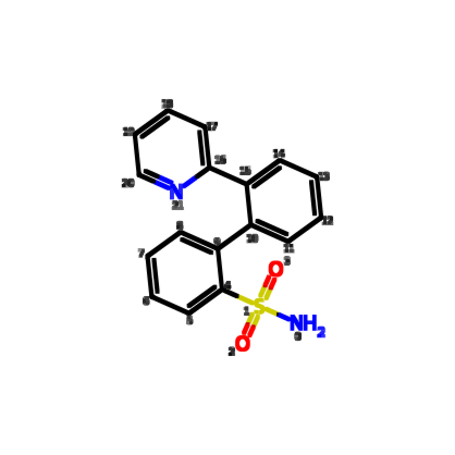 NS(=O)(=O)c1ccccc1-c1ccccc1-c1ccccn1